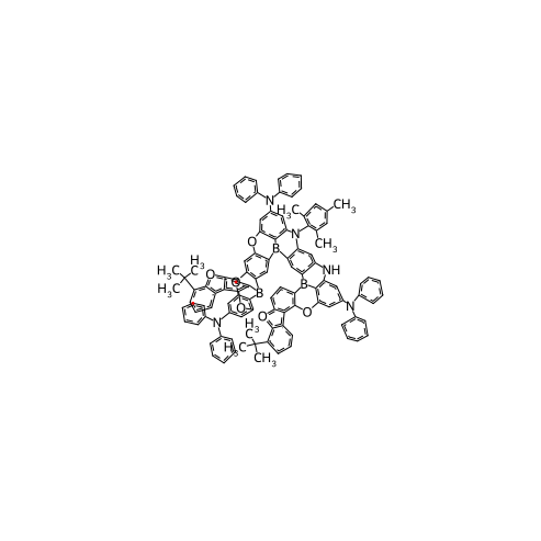 Cc1cc(C)c(N2c3cc4c(cc3B3c5cc6c(cc5Oc5cc(N(c7ccccc7)c7ccccc7)cc2c53)Oc2cc(N(c3ccccc3)c3ccccc3)cc3c2B6c2ccc5oc6c(C(C)(C)C)cccc6c5c2O3)B2c3ccc5oc6c(C(C)(C)C)cccc6c5c3Oc3cc(N(c5ccccc5)c5ccccc5)cc(c32)N4)c(C)c1